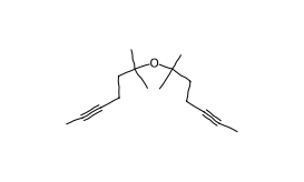 CC#CCCC(C)(C)OC(C)(C)CCC#CC